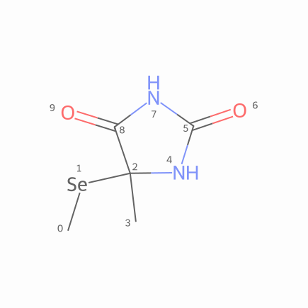 C[Se]C1(C)NC(=O)NC1=O